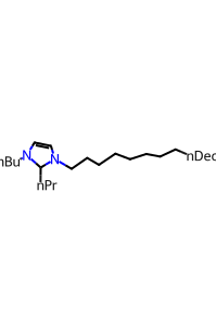 CCCCCCCCCCCCCCCCCCN1C=CN(CCCC)C1CCC